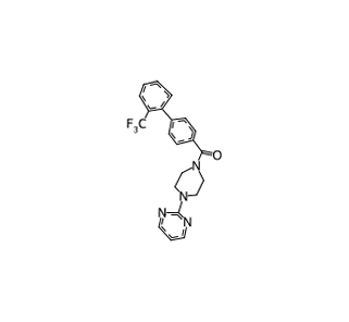 O=C(c1ccc(-c2ccccc2C(F)(F)F)cc1)N1CCN(c2ncccn2)CC1